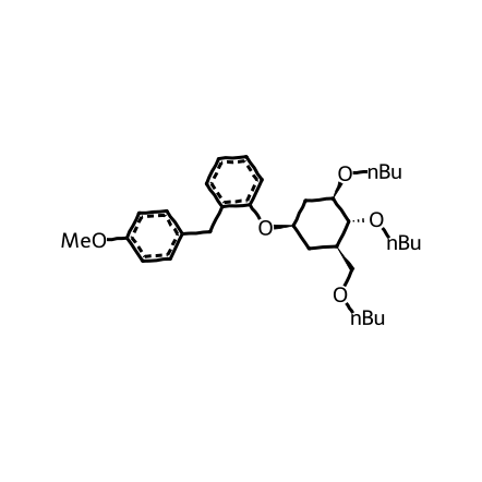 CCCCOC[C@H]1C[C@@H](Oc2ccccc2Cc2ccc(OC)cc2)C[C@@H](OCCCC)[C@@H]1OCCCC